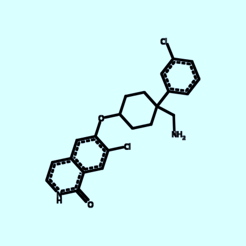 NCC1(c2cccc(Cl)c2)CCC(Oc2cc3cc[nH]c(=O)c3cc2Cl)CC1